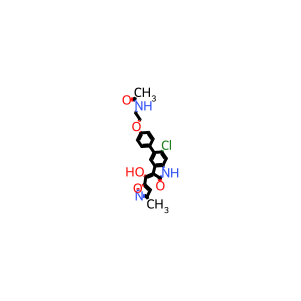 CC(=O)NCCOc1ccc(-c2cc3c(cc2Cl)NC(=O)/C3=C(/O)c2cc(C)no2)cc1